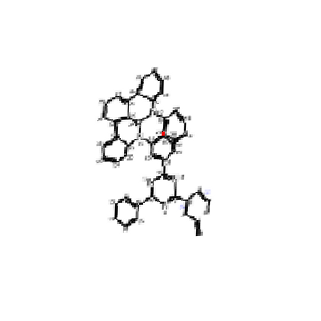 C=C/C=C(\C=C/C)c1nc(-c2ccccc2)nc(-c2cccc(N3B4c5c(cccc5-c5ccccc53)-c3ccccc3N4c3ccccc3)c2)n1